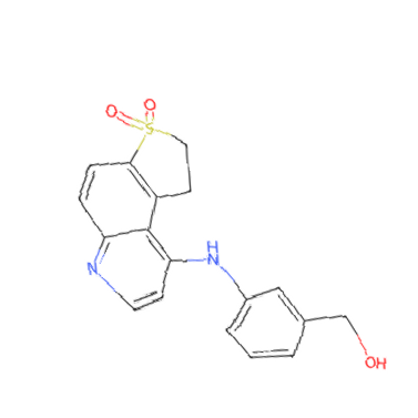 O=S1(=O)CCc2c1ccc1nccc(Nc3cccc(CO)c3)c21